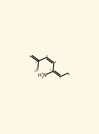 C=C(F)/C=C\C(N)=C/C